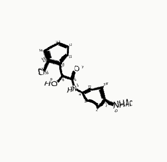 CC(=O)Nc1ccc(NC(=O)C(O)c2ccccc2Cl)cc1